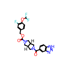 O=C(OCc1ccc(OC(F)F)c(F)c1)N1C[C@@H]2CN(C(=O)c3ccc4[nH]nnc4c3)C[C@H]2C1